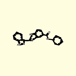 O=C(Nc1ccccc1)c1ccc2[nH]c(-c3n[nH]c4ccccc34)nc2c1